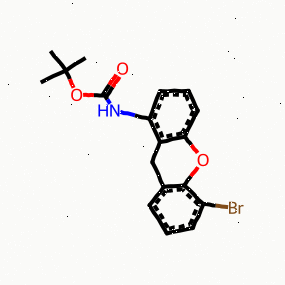 CC(C)(C)OC(=O)Nc1cccc2c1Cc1cccc(Br)c1O2